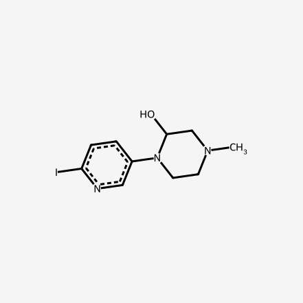 CN1CCN(c2ccc(I)nc2)C(O)C1